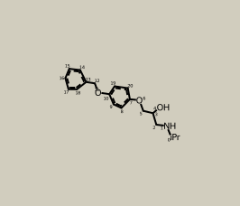 CC(C)NCC(O)COc1ccc(OCc2ccccc2)cc1